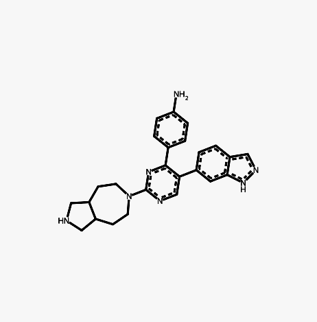 Nc1ccc(-c2nc(N3CCC4CNCC4CC3)ncc2-c2ccc3cn[nH]c3c2)cc1